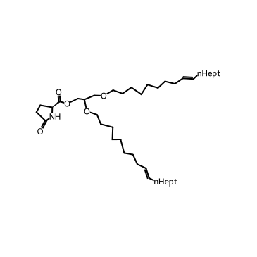 CCCCCCCC=CCCCCCCCCOCC(COC(=O)[C@@H]1CCC(=O)N1)OCCCCCCCCC=CCCCCCCC